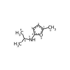 Cc1ccc(NC(C)C)o1